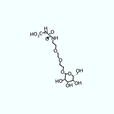 O=C(O)NS(=O)(=O)NCCOCCOCCO[C@H]1O[C@H](CO)[C@@H](O)[C@H](O)[C@H]1O